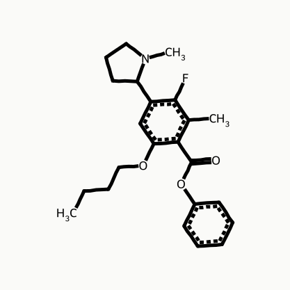 CCCCOc1cc(C2CCCN2C)c(F)c(C)c1C(=O)Oc1ccccc1